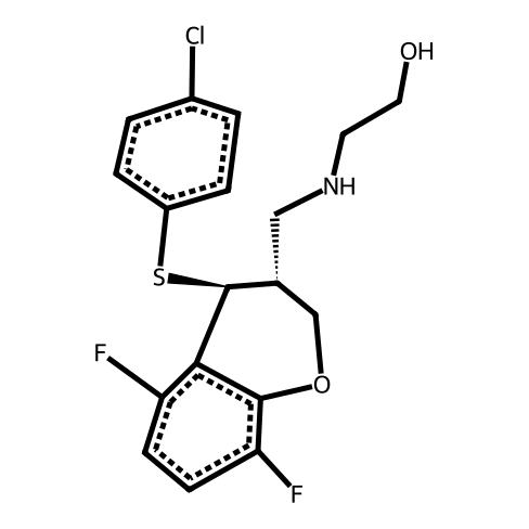 OCCNC[C@@H]1COc2c(F)ccc(F)c2[C@H]1Sc1ccc(Cl)cc1